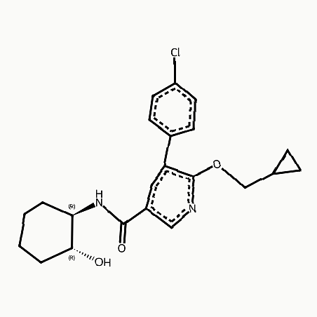 O=C(N[C@@H]1CCCC[C@H]1O)c1cnc(OCC2CC2)c(-c2ccc(Cl)cc2)c1